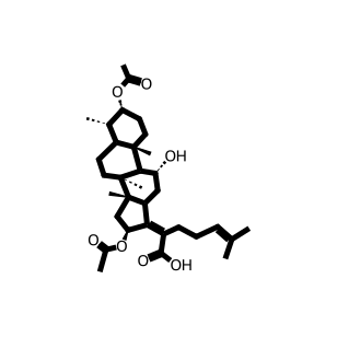 CC(=O)O[C@H]1C[C@@]2(C)C(C[C@@H](O)C3[C@@]4(C)CC[C@@H](OC(C)=O)[C@@H](C)C4CC[C@@]32C)/C1=C(\CCC=C(C)C)C(=O)O